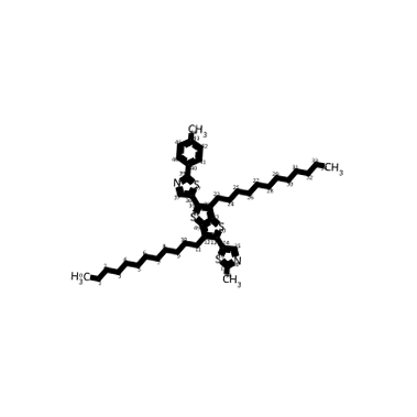 CCCCCCCCCCCCc1c(-c2cnc(C)s2)sc2c(CCCCCCCCCCCC)c(-c3cnc(-c4ccc(C)cc4)s3)sc12